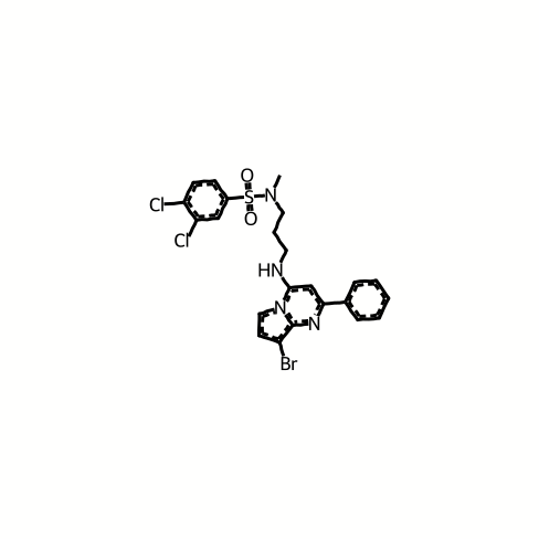 CN(CCCNc1cc(-c2ccccc2)nc2c(Br)ccn12)S(=O)(=O)c1ccc(Cl)c(Cl)c1